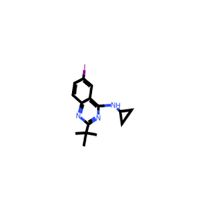 CC(C)(C)c1nc(NC2CC2)c2cc(I)ccc2n1